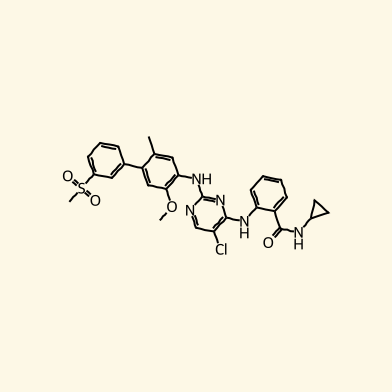 COc1cc(-c2cccc(S(C)(=O)=O)c2)c(C)cc1Nc1ncc(Cl)c(Nc2ccccc2C(=O)NC2CC2)n1